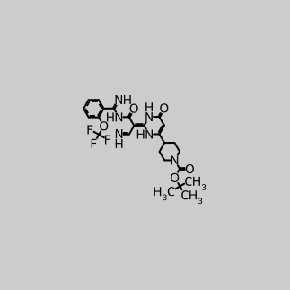 CC(C)(C)OC(=O)N1CCC(C2=CC(=O)N/C(=C(/C=N)C(=O)NC(=N)c3ccccc3OC(F)(F)F)N2)CC1